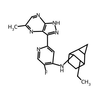 CCC1C2CCC(C3CC23)C1Nc1cc(-c2n[nH]c3ncc(C)nc23)ncc1F